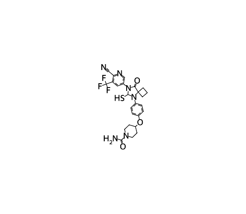 N#Cc1ncc(N2C(=O)C3(CCC3)N(c3ccc(OC4CCN(C(N)=O)CC4)cc3)C2S)cc1C(F)(F)F